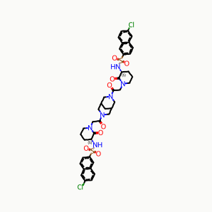 O=C(CN1CCC[C@H](NS(=O)(=O)c2ccc3cc(Cl)ccc3c2)C1=O)N1CC2CC(C1)CN(C(=O)CN1CCC[C@H](NS(=O)(=O)c3ccc4cc(Cl)ccc4c3)C1=O)C2